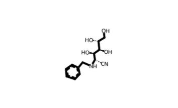 N#C[C@H](NCc1ccccc1)[C@@H](O)[C@H](O)[C@H](O)CO